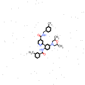 Cc1cccc(C(=O)Nc2ccc(N3CC(C)OC(C)C3)cc2-c2cc(C(=O)NCc3cccc(C(F)(F)F)c3)ccn2)c1